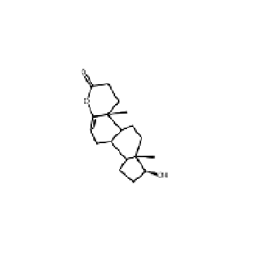 C[C@]12CCC(=O)OC1=CCC1C2CC[C@@]2(C)C1CC[C@@H]2O